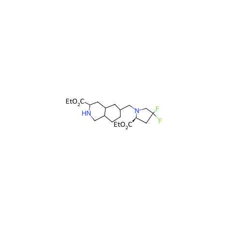 CCOC(=O)C1CC2CC(CN3CC(F)(F)C[C@H]3C(=O)OCC)CCC2CN1